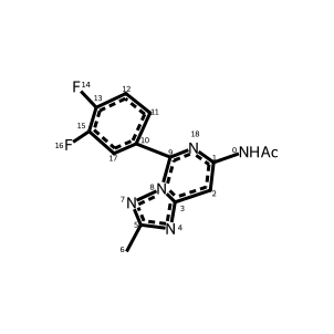 CC(=O)Nc1cc2nc(C)nn2c(-c2ccc(F)c(F)c2)n1